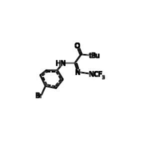 CC(C)(C)C(=O)C(=NNC(F)(F)F)Nc1ccc(Br)cc1